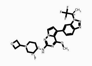 COc1nc(N[C@H]2CCN(C3COC3)C[C@H]2F)nn2ccc(-c3ccc4nnn([C@H](C)C(F)(F)F)c4c3)c12